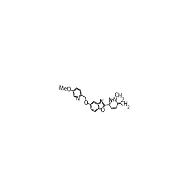 C=C1C=CC(c2nc3cc(OCc4ccc(OC)cn4)ccc3o2)=NN1C